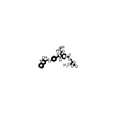 Cc1nc2ccccc2cc1COc1ccc(C(=O)NC2(CC(=O)NO)CCN(C(=O)OCc3oc(=O)oc3C)CC2)cc1